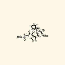 CC(CSC(=O)C(C)(C)C)C(=O)N1CCC[C@H]1C(=O)N[C@@H](Cc1ccccc1)C(=O)OC(C)(C)C